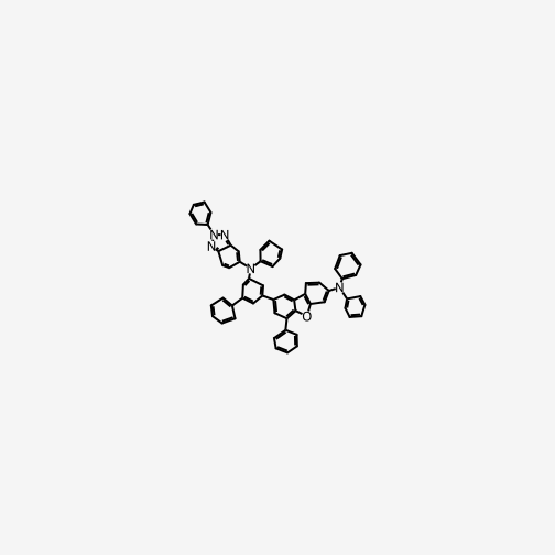 c1ccc(-c2cc(-c3cc(-c4ccccc4)c4oc5cc(N(c6ccccc6)c6ccccc6)ccc5c4c3)cc(N(c3ccccc3)c3ccc4nn(-c5ccccc5)nc4c3)c2)cc1